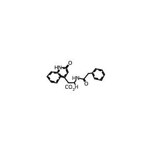 O=C(Cc1ccccc1)NC(Cc1cc(=O)[nH]c2ccccc12)C(=O)O